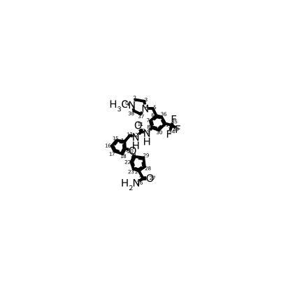 CN1CCN(Cc2cc(NC(=O)NCc3ccccc3Oc3ccc(C(N)=O)cc3)cc(C(F)(F)F)c2)CC1